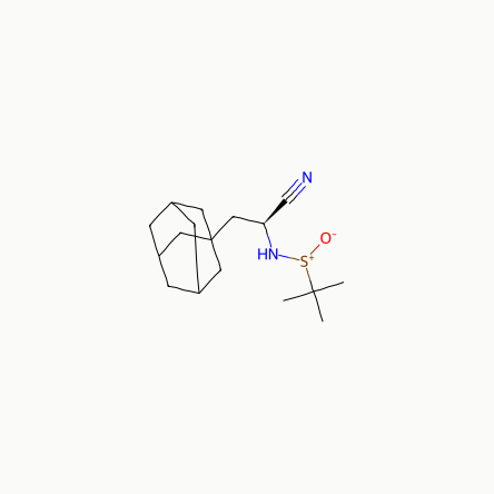 CC(C)(C)[S+]([O-])N[C@H](C#N)CC12CC3CC(CC(C3)C1)C2